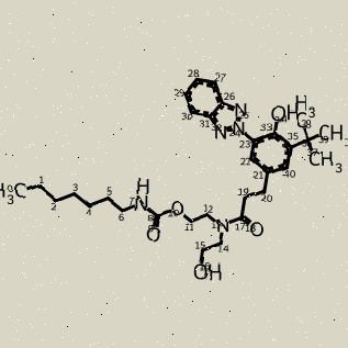 CCCCCCCNC(=O)OCCN(CCO)C(=O)CCc1cc(-n2nc3ccccc3n2)c(O)c(C(C)(C)C)c1